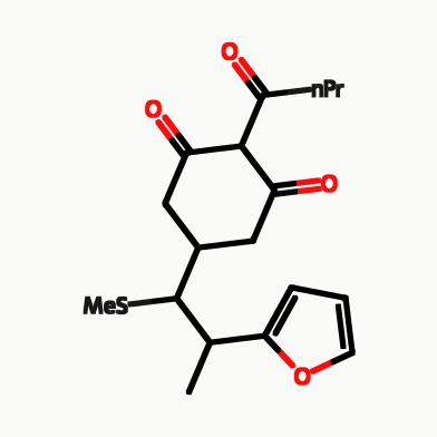 CCCC(=O)C1C(=O)CC(C(SC)C(C)c2ccco2)CC1=O